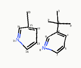 CC(C)(C)c1cccnc1.Cc1cccnc1